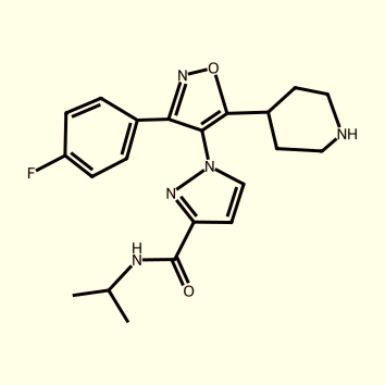 CC(C)NC(=O)c1ccn(-c2c(-c3ccc(F)cc3)noc2C2CCNCC2)n1